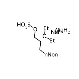 CCCCCCCCCCCCOS(=O)(=O)O.CCOCC.[MgH2].[NaH]